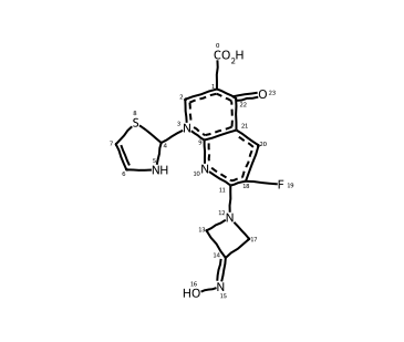 O=C(O)c1cn(C2NC=CS2)c2nc(N3CC(=NO)C3)c(F)cc2c1=O